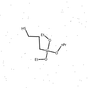 CCCO[Si](CCCS)(OCC)OCC